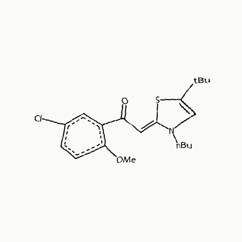 CCCCN1C=C(C(C)(C)C)SC1=CC(=O)c1cc(Cl)ccc1OC